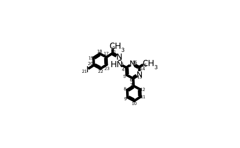 CC(=NNc1cc(-c2ccccc2)nc(C)n1)c1ccc(I)cc1